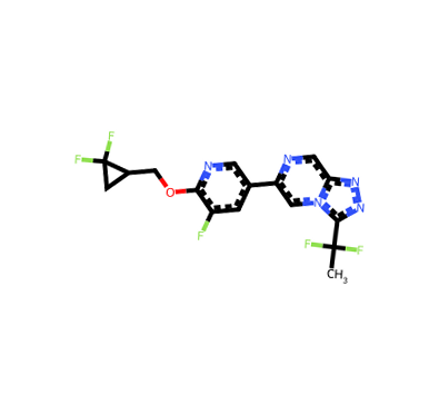 CC(F)(F)c1nnc2cnc(-c3cnc(OCC4CC4(F)F)c(F)c3)cn12